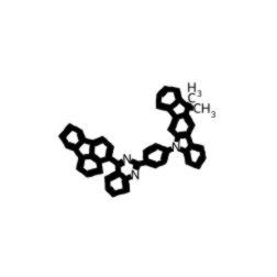 CC1(C)c2ccccc2-c2cc3c(cc21)c1ccccc1n3-c1ccc(-c2nc(-c3ccc4c5c(cccc35)-c3ccccc3-4)c3ccccc3n2)cc1